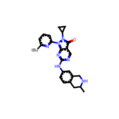 CC1Cc2ccc(Nc3ncc4c(=O)n(C5CC5)n(-c5cccc(C(C)(C)C)n5)c4n3)cc2CN1